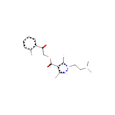 Cc1nn(CCN(C)C)c(N)c1C(=O)OCC(=O)c1ccccc1Cl